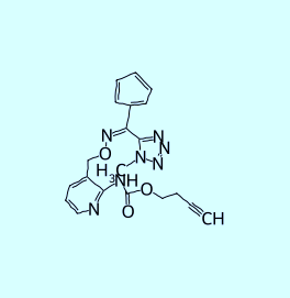 C#CCCOC(=O)Nc1ncccc1CO/N=C(/c1ccccc1)c1nnnn1C